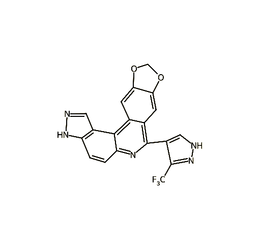 FC(F)(F)c1n[nH]cc1-c1nc2ccc3[nH]ncc3c2c2cc3c(cc12)OCO3